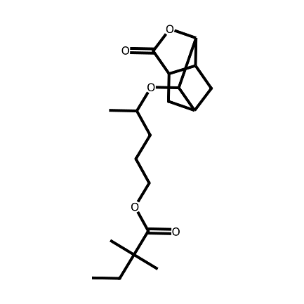 CCC(C)(C)C(=O)OCCCC(C)OC1C2CC3C(=O)OC1C3C2